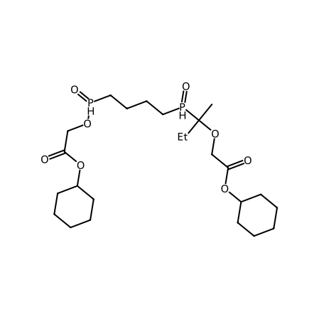 CCC(C)(OCC(=O)OC1CCCCC1)[PH](=O)CCCC[PH](=O)OCC(=O)OC1CCCCC1